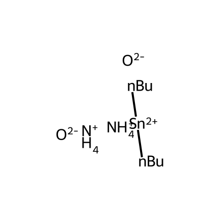 CCC[CH2][Sn+2][CH2]CCC.[NH4+].[NH4+].[O-2].[O-2]